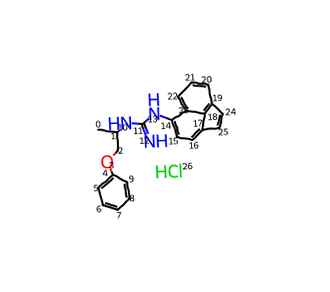 CC(COc1ccccc1)NC(=N)Nc1ccc2c3c(cccc13)C=C2.Cl